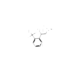 Cl.NC(C[N+](=O)[O-])c1ccccc1C(F)(F)F